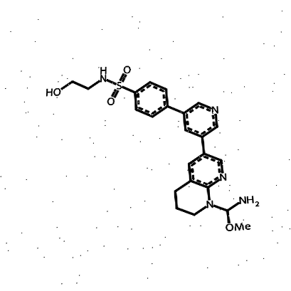 COC(N)N1CCCc2cc(-c3cncc(-c4ccc(S(=O)(=O)NCCO)cc4)c3)cnc21